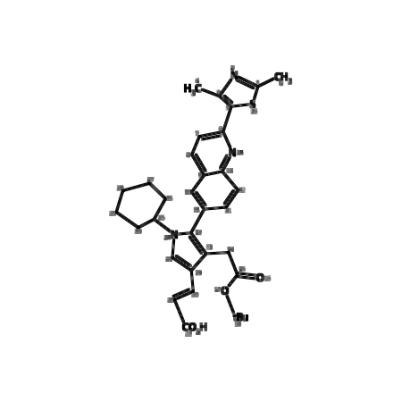 Cc1nc(C)c(-c2ccc3cc(-c4c(CC(=O)OC(C)(C)C)c(C=CC(=O)O)cn4C4CCCCC4)ccc3n2)s1